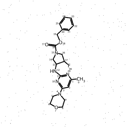 Cc1cc(N2CCOCC2)nc(NC2CN(C(=O)OCc3ccccc3)CC2F)n1